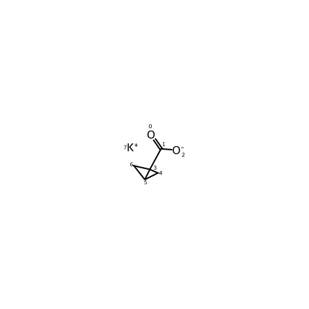 O=C([O-])C12CC1C2.[K+]